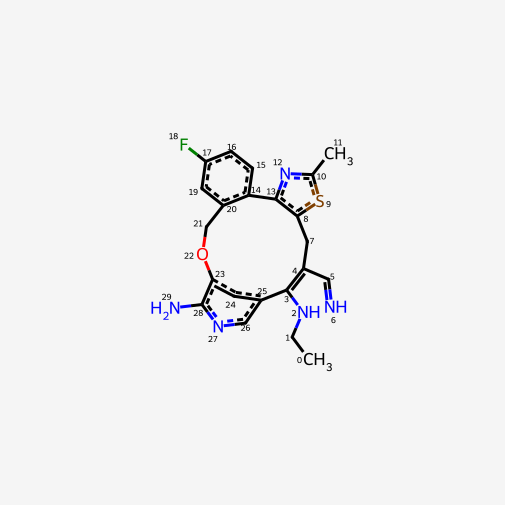 CCN/C1=C(\C=N)Cc2sc(C)nc2-c2ccc(F)cc2COc2cc1cnc2N